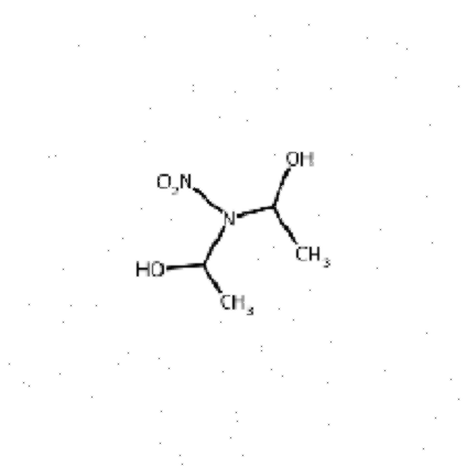 CC(O)N(C(C)O)[N+](=O)[O-]